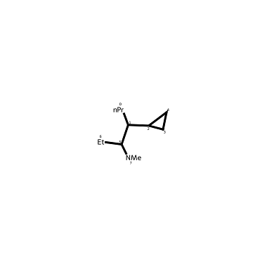 CCCC(C1CC1)C(CC)NC